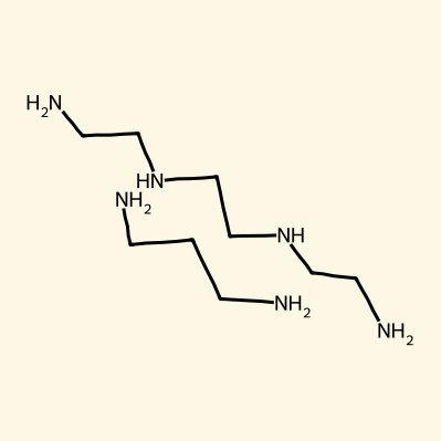 NCCCN.NCCNCCNCCN